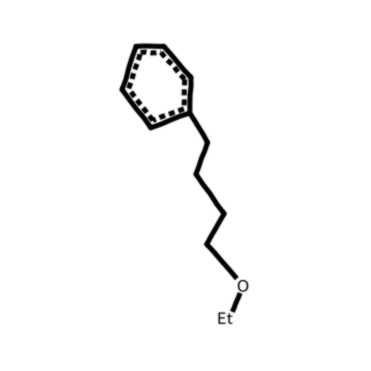 [CH2]COCCCCc1ccccc1